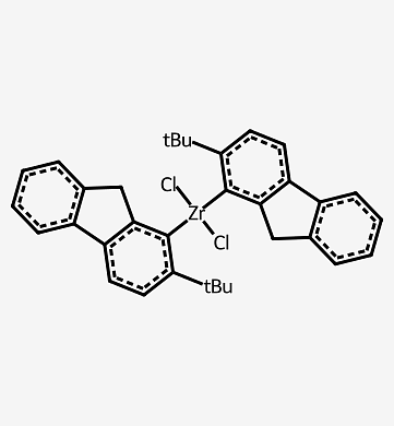 CC(C)(C)c1ccc2c([c]1[Zr]([Cl])([Cl])[c]1c(C(C)(C)C)ccc3c1Cc1ccccc1-3)Cc1ccccc1-2